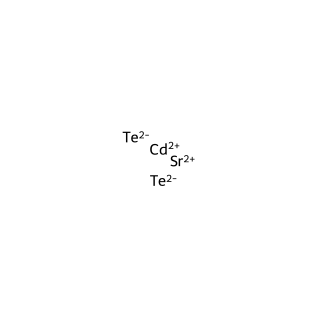 [Cd+2].[Sr+2].[Te-2].[Te-2]